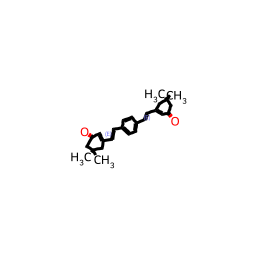 CC1(C)CC(=O)C=C(/C=C/c2ccc(/C=C/C3=CC(=O)CC(C)(C)C3)cc2)C1